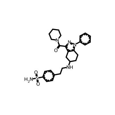 NS(=O)(=O)c1ccc(CCNC2CCc3c(c(C(=O)N4CCCCC4)nn3-c3ccccc3)C2)cc1